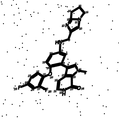 Cn1cc(-c2cc(NCc3cn4c(n3)CCC4)ccc2Oc2ccc(F)cc2F)c2cc[nH]c(=O)c21